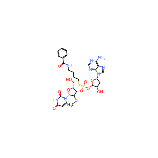 COC1[C@@H](OP(=O)(O[C@H]2O[C@@H](n3cnc4c(N)ncnc43)C[C@H]2O)SCCCCNC(=O)c2ccccc2)[C@@H](CO)O[C@H]1n1ccc(=O)[nH]c1=O